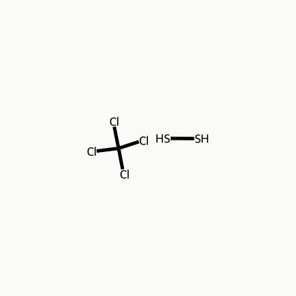 ClC(Cl)(Cl)Cl.SS